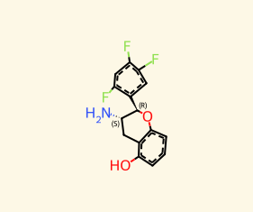 N[C@H]1Cc2c(O)cccc2O[C@@H]1c1cc(F)c(F)cc1F